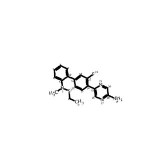 CCSN(C)c1ccccc1-c1ccc(-c2cnc(N)cn2)c(F)c1